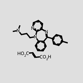 Cc1ccc(C2=Nc3cccnc3N(CCCN(C)C)c3ccccc32)cc1.O=C(O)C=CC(=O)O